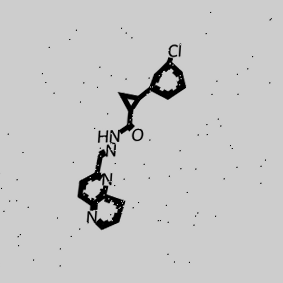 O=C(NN=Cc1ccc2ncccc2n1)C1CC1c1cccc(Cl)c1